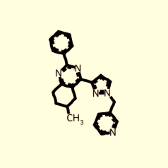 CC1CCc2nc(-c3ccccc3)nc(-c3ccn(Cc4cccnc4)n3)c2C1